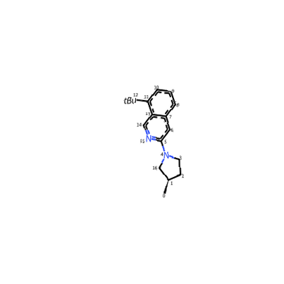 C[C@@H]1CCN(c2cc3cccc(C(C)(C)C)c3cn2)C1